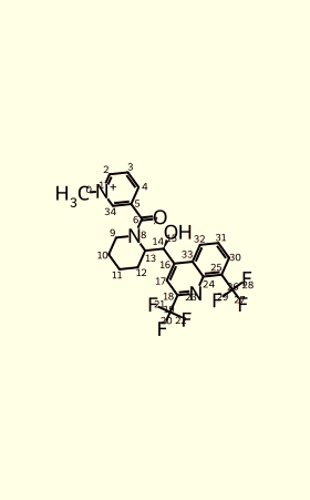 C[n+]1cccc(C(=O)N2CCCCC2[C@@H](O)c2cc(C(F)(F)F)nc3c(C(F)(F)F)cccc23)c1